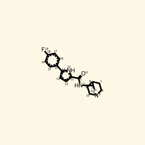 O=C(NC1CN2CCC1CC2)c1ccc(-c2ccc(F)cc2)[nH]1